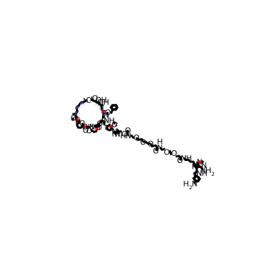 CO[C@H]1C[C@@H]2CCC[C@@](O)(O2)C(=O)C(=O)N2CCCC[C@H]2C(=O)O[C@H]([C@H](N)C[C@@H]2CC[C@H](n3cc(COC(=O)NCCOCCOCCOCCC(=O)NCCOCCOCCC(=O)NCCCCn4nc(-c5cc6cc(N)ccc6[nH]5)c5c(N)ncnc54)nn3)[C@H](OC)C2)C/C(=N/OCc2ccccc2)[C@H](C)/C=C(\C)[C@@H](O)[C@@H](O)C(=O)[C@H](C)C[C@H](C)/C=C/C=C/C=C/1C